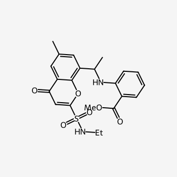 CCNS(=O)(=O)c1cc(=O)c2cc(C)cc(C(C)Nc3ccccc3C(=O)OC)c2o1